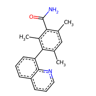 Cc1cc(C)c(-c2cccc3cccnc23)c(C)c1C(N)=O